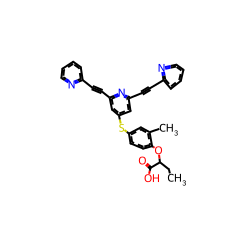 CCC(Oc1ccc(Sc2cc(C#Cc3ccccn3)nc(C#Cc3ccccn3)c2)cc1C)C(=O)O